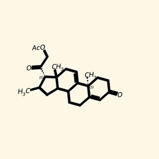 CC(=O)OCC(=O)[C@H]1C(C)CC2C3CCC4=CC(=O)CC[C@]4(C)C3=CCC21C